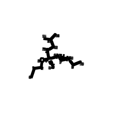 CCCOP(=S)(NC=NCC)SCC(C)C